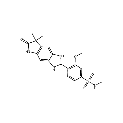 CNS(=O)(=O)c1ccc(C2Nc3cc4c(cc3N2)C(C)(C)C(=O)N4)c(OC)c1